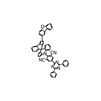 N#Cc1cc(-c2nc(-c3ccccc3)nc(-c3ccccc3)n2)cc(C#N)c1N1c2ccccc2C2(c3ccccc3-c3cc(-c4ccc5oc6ccccc6c5c4)ccc32)c2ccccc21